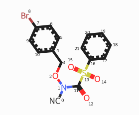 N#CN(OCc1ccc(Br)cc1)C(=O)S(=O)(=O)c1ccccc1